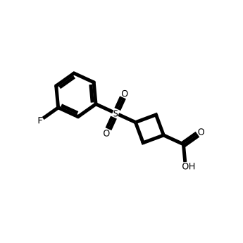 O=C(O)C1CC(S(=O)(=O)c2cccc(F)c2)C1